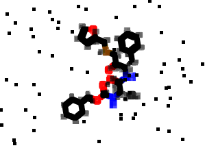 CCC(C)[C@H](NC(=O)OCC1CCCCC1)C(=O)N[C@@H](Cc1ccccc1)C(=O)CSCc1ccco1